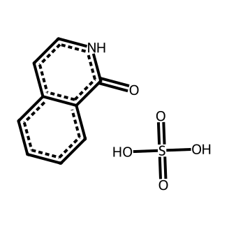 O=S(=O)(O)O.O=c1[nH]ccc2ccccc12